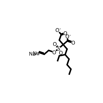 C=CCOS(=O)(=O)C(CC(=O)[O-])(CC(CC)CCCC)C(=O)[O-].[Na+].[Na+]